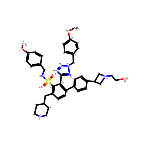 COc1ccc(CNS(=O)(=O)c2c(CC3CCNCC3)ccc(-c3ccc(C4CN(CCO)C4)cc3)c2-c2nnn(Cc3ccc(OC)cc3)n2)cc1